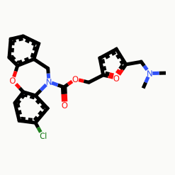 CN(C)Cc1ccc(COC(=O)N2Cc3ccccc3Oc3ccc(Cl)cc32)o1